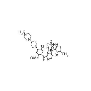 COc1cc(N2CCC(N3CCN(C)CC3)CC2)c(Cl)cc1Nc1ncc(Br)c(Nc2cc(C)ccc2NS(C)(=O)=O)n1